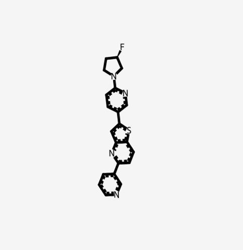 F[C@@H]1CCN(c2ccc(-c3cc4nc(-c5cccnc5)ccc4s3)cn2)C1